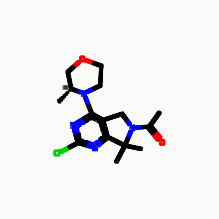 CC(=O)N1Cc2c(N3CCOC[C@H]3C)nc(Cl)nc2C1(C)C